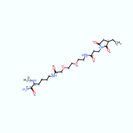 CCC1CC(=O)N(CCC(=O)NCCOCCOCC(=O)NCCCCC(NC)C(N)=O)C1=O